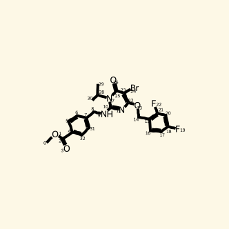 COC(=O)c1ccc(CNc2nc(OCc3ccc(F)cc3F)c(Br)c(=O)n2C(C)C)cc1